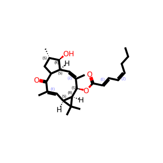 CCC/C=C\C=C\C(=O)O[C@@H]1/C(C)=C\[C@H]2C(C[C@H](C)[C@H]2O)C(=O)/C(C)=C/[C@H]2[C@@H]1C2(C)C